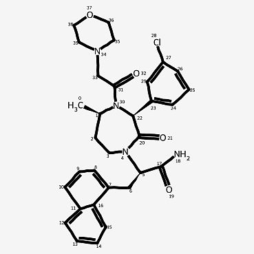 C[C@@H]1CCN([C@H](Cc2cccc3ccccc23)C(N)=O)C(=O)[C@H](c2cccc(Cl)c2)N1C(=O)CN1CCOCC1